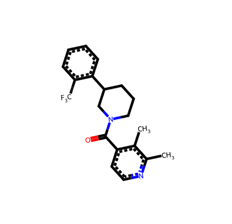 Cc1nccc(C(=O)N2CCCC(c3ccccc3C(F)(F)F)C2)c1C